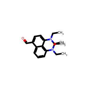 CCN(CC)c1cccc2c(C=O)ccc(N(CC)CC)c12